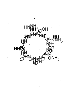 CCC1NC(=O)C(Cc2ccccc2)NC(=O)CSCC(C(=O)NCC(N)=O)NC(=O)C(Cc2cncn2C)NC(=O)C(CCCNC(=N)N)NC(=O)C(C)NC(=O)C(Cc2ccc(O)cc2)N(C)C(=O)C(CCCNC(=N)N)NC(=O)C(CO)NC(=O)CNC(=O)C(Cc2c[nH]cn2)NC(=O)C(Cc2cccc3ccccc23)NC1=O